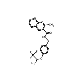 Cc1nc2ncccc2cc1C(=O)NCc1ccc(OC(C)C(F)(F)F)cc1